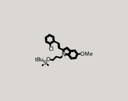 COc1ccc2c(c1)cc(C=Cc1ccccc1Cl)n2CCCO[Si](C)(C)C(C)(C)C